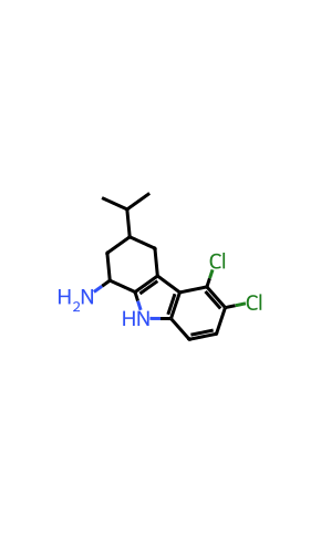 CC(C)C1Cc2c([nH]c3ccc(Cl)c(Cl)c23)C(N)C1